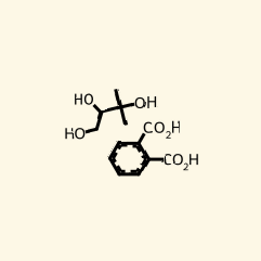 CC(C)(O)C(O)CO.O=C(O)c1ccccc1C(=O)O